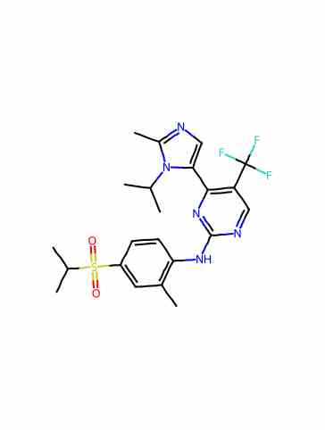 Cc1cc(S(=O)(=O)C(C)C)ccc1Nc1ncc(C(F)(F)F)c(-c2cnc(C)n2C(C)C)n1